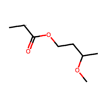 C[CH]C(=O)OCCC(C)OC